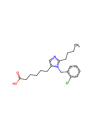 CCCCc1ncc(CCCCCC(=O)O)n1Cc1ccccc1Cl